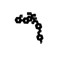 O=C(Cc1ccc(OCc2ccc(F)cc2)cc1)NC1(C(=O)O)Cc2ccc(-c3ccccc3Cl)cc2C1